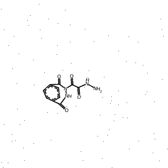 NNC(=O)C(=O)N1NC(=O)c2ccc(cc2)C1=O